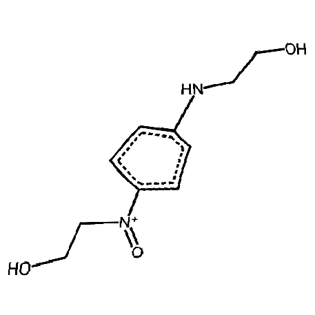 O=[N+](CCO)c1ccc(NCCO)cc1